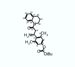 Cc1cc(OC(=O)OCC(C)C)cc(C)c1C(N)CC(=O)N1CCCc2ccccc21